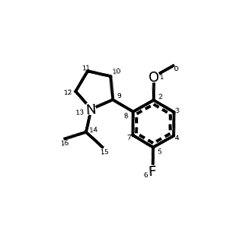 COc1ccc(F)cc1C1CCCN1C(C)C